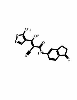 Cc1oncc1/C(O)=C(\C#N)C(=O)Nc1ccc2c(c1)CCC2=O